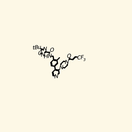 Cc1cc(-c2ccncc2N2CCN(C(=O)C=CC(F)(F)F)CC2)ccc1CNC(=O)c1noc(C(C)(C)C)n1